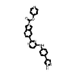 O=C(Oc1ccncc1)n1cc2ccc(-c3nccc(Nc4ccc(-c5cn[nH]c5)cc4)n3)cc2c1